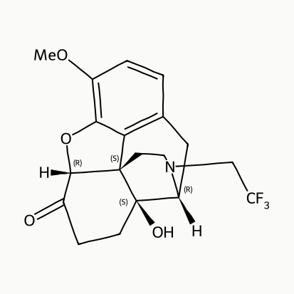 COc1ccc2c3c1O[C@H]1C(=O)CC[C@@]4(O)[C@@H](C2)N(CC(F)(F)F)CC[C@]314